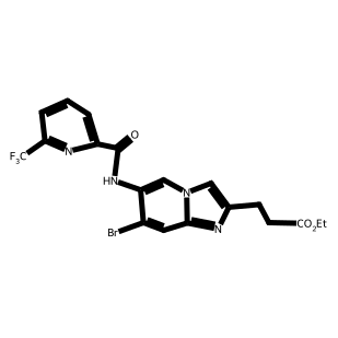 CCOC(=O)CCc1cn2cc(NC(=O)c3cccc(C(F)(F)F)n3)c(Br)cc2n1